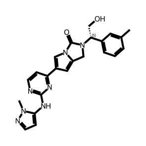 Cc1cccc([C@@H](CO)N2Cc3cc(-c4ccnc(Nc5ccnn5C)n4)cn3C2=O)c1